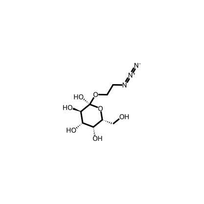 [N-]=[N+]=NCCO[C@@]1(O)O[C@H](CO)[C@H](O)[C@H](O)[C@H]1O